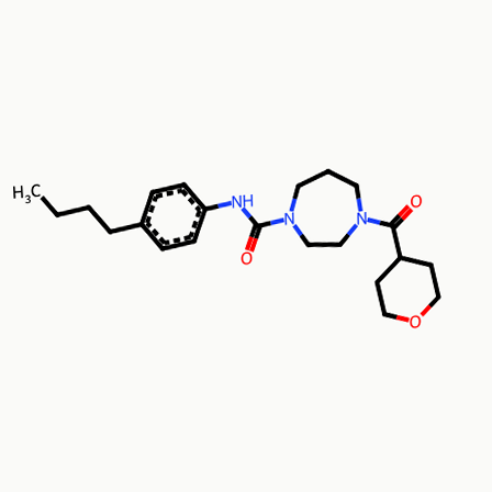 CCCCc1ccc(NC(=O)N2CCCN(C(=O)C3CCOCC3)CC2)cc1